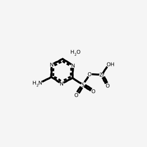 Nc1ncnc(S(=O)(=O)[O][Zr](=[O])[OH])n1.O